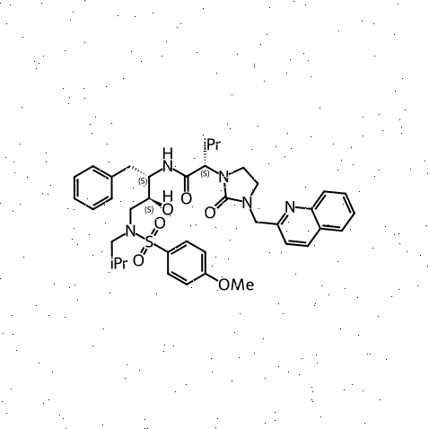 COc1ccc(S(=O)(=O)N(CC(C)C)C[C@H](O)[C@H](Cc2ccccc2)NC(=O)[C@H](C(C)C)N2CCN(Cc3ccc4ccccc4n3)C2=O)cc1